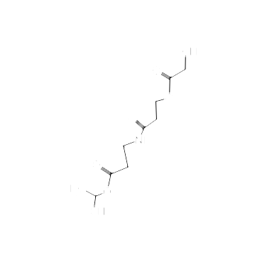 CCC(=O)OCCC(=O)NCCC(=O)OC(C)C